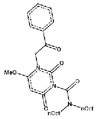 CCCCCCCCN(CCCCCCCC)C(=O)n1c(=O)cc(OC)n(CC(=O)c2ccccc2)c1=O